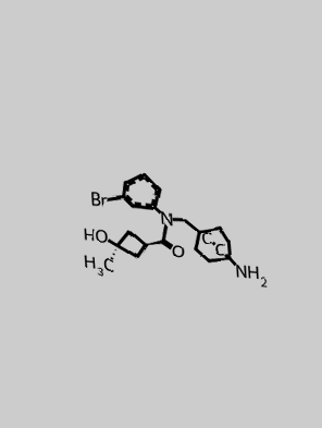 C[C@]1(O)C[C@@H](C(=O)N(CC23CCC(N)(CC2)CC3)c2cccc(Br)c2)C1